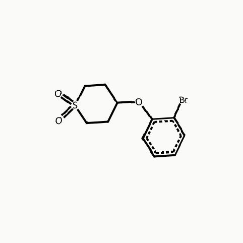 O=S1(=O)CCC(Oc2ccccc2Br)CC1